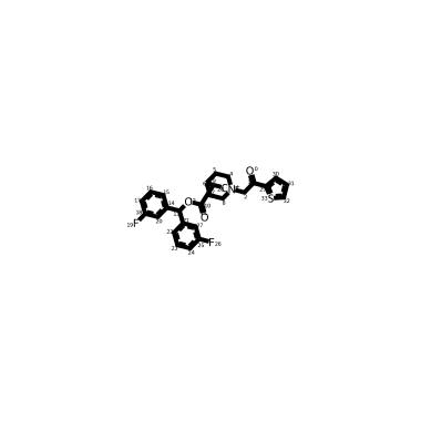 O=C(C[N+]12CCC(CC1)C(C(=O)OC(c1cccc(F)c1)c1cccc(F)c1)C2)c1cccs1